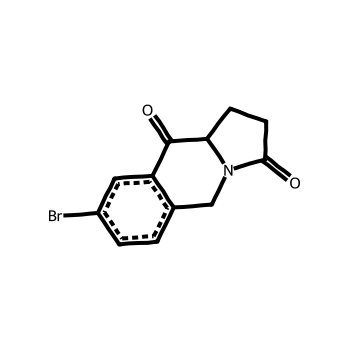 O=C1c2cc(Br)ccc2CN2C(=O)CCC12